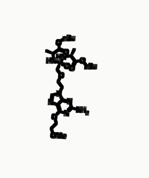 CCCCOC(=O)[C@H](C)NP(=O)(COCCn1cnc2c(OCCOC)nc(N)nc21)N[C@@H](C)C(=O)OCCCC